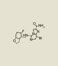 NC(=O)c1cn2c(NCc3c(F)ccc4c3CCO4)ncc(Br)c2n1